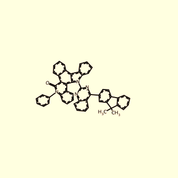 CC1(C)c2ccccc2-c2ccc(-c3nc(-n4c5ccccc5c5c6ccccc6c6c(=O)n(-c7ccccc7)c7ccccc7c6c54)nc4ccccc34)cc21